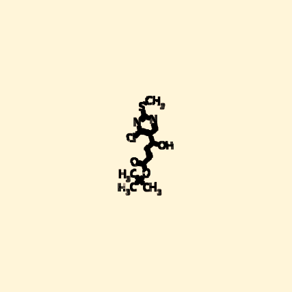 CSc1ncc(C(O)/C=C/C(=O)OC(C)(C)C)c(Cl)n1